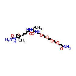 CC[C@@H](NC(=O)CCCC[C@@H]1SC[C@H](NC(N)=O)[C@@H]1C)C(=O)NCCOCCOCCOCCOCCC(N)=O